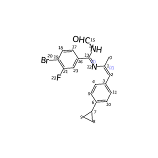 CC(=C/c1ccc(C2CC2)cc1)/N=C(\NC=O)c1ccc(Br)c(F)c1